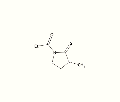 CCC(=O)N1CCN(C)C1=S